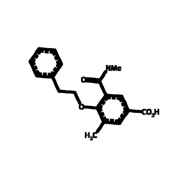 CNC(=O)c1cc(C(=O)O)cc(C)c1OCCc1ccccc1